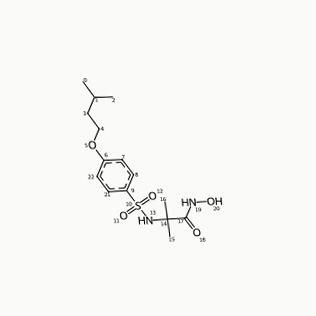 CC(C)CCOc1ccc(S(=O)(=O)NC(C)(C)C(=O)NO)cc1